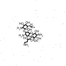 CCNC[C@H]1O[C@H](OC2[C@@H](N)C[C@@H](NC(=O)[C@@H](O)CCN)[C@H](O[C@H]3O[C@H](CO)[C@@H](O)[C@H](N)[C@H]3O)[C@H]2O)[C@H](N)[C@@H](O)[C@@H]1O